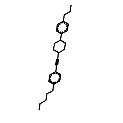 CCCCCc1ccc(C#CC2CCC(c3ccc(CCC)cc3)CC2)cc1